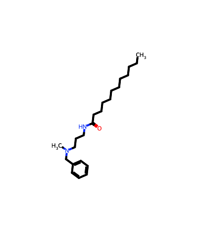 CCCCCCCCCCCC(=O)NCCCN(C)Cc1ccccc1